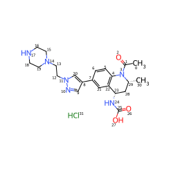 CC(=O)N1c2ccc(-c3cnn(CCN4CCNCC4)c3)cc2[C@@H](NC(=O)O)C[C@H]1C.Cl